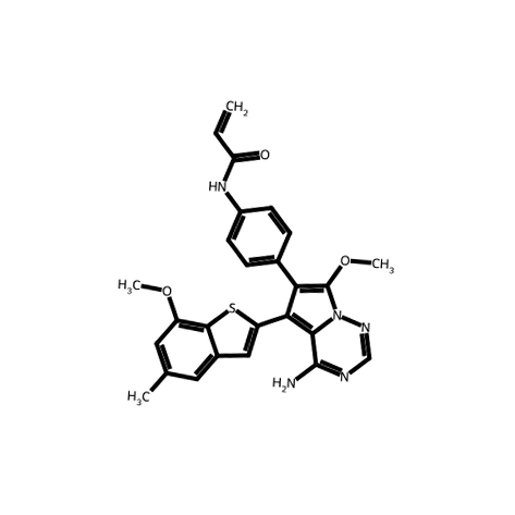 C=CC(=O)Nc1ccc(-c2c(-c3cc4cc(C)cc(OC)c4s3)c3c(N)ncnn3c2OC)cc1